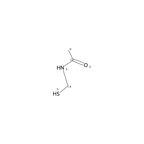 CC(=O)N[CH]S